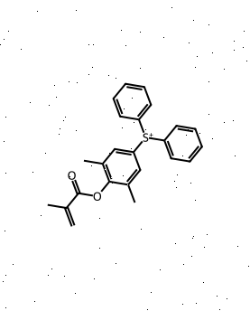 C=C(C)C(=O)Oc1c(C)cc([S+](c2ccccc2)c2ccccc2)cc1C